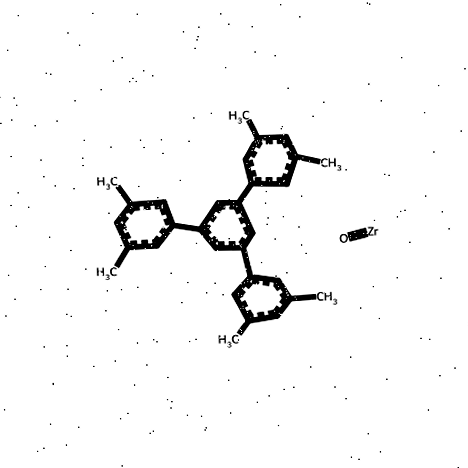 Cc1cc(C)cc(-c2cc(-c3cc(C)cc(C)c3)cc(-c3cc(C)cc(C)c3)c2)c1.[O]=[Zr]